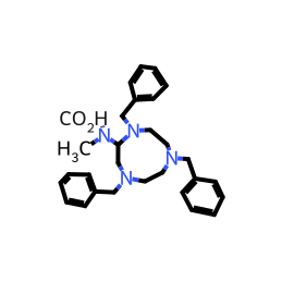 CN(C(=O)O)C1CN(Cc2ccccc2)CCN(Cc2ccccc2)CCN1Cc1ccccc1